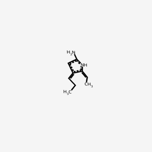 C/C=c1/[nH]c(N)c/c1=C/CC